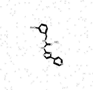 COc1cccc(CNC(=O)Nc2nc(-c3ccncc3)cs2)c1.Cl